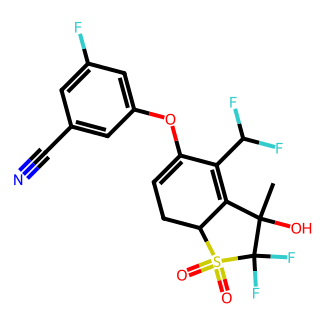 CC1(O)C2=C(C(F)F)C(Oc3cc(F)cc(C#N)c3)=CCC2S(=O)(=O)C1(F)F